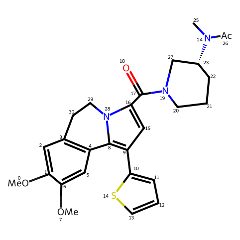 COc1cc2c(cc1OC)-c1c(-c3cccs3)cc(C(=O)N3CCC[C@@H](N(C)C(C)=O)C3)n1CC2